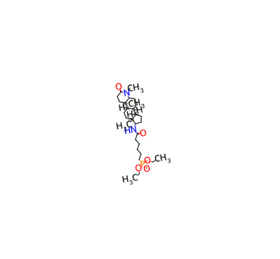 CCOP(=O)(CCCCCC(=O)NC1CC[C@H]2[C@@H]3CCC4N(C)C(=O)CC[C@]4(C)[C@@H]3CC[C@]12C)OCC